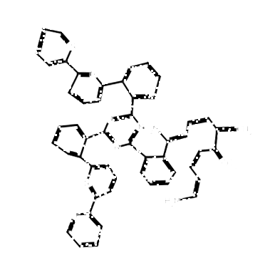 C=C(/C=C\C=C/N)C(=C)/C=C\C=C(/N)c1ccccc1-c1nc(-c2ccccc2-c2cccc(-c3ccccn3)n2)nc(-c2ccccc2-c2cccc(-c3ccccn3)n2)n1